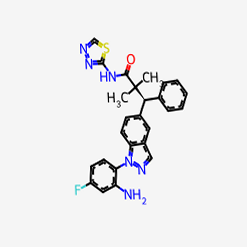 CC(C)(C(=O)Nc1nncs1)[C@@H](c1ccccc1)c1ccc2c(cnn2-c2ccc(F)cc2N)c1